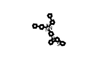 c1ccc(-c2ccc(-c3nc(-c4ccc(-n5c6ccccc6c6c7sc8ccccc8c7ccc65)cc4)nc(-c4cccc(-c5ccccc5)c4)n3)cc2)cc1